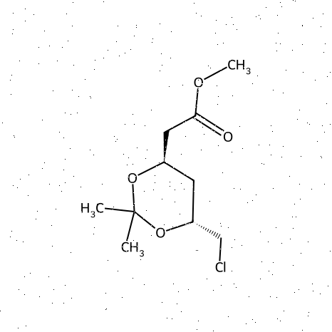 COC(=O)C[C@H]1C[C@H](CCl)OC(C)(C)O1